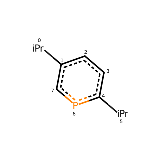 CC(C)c1ccc(C(C)C)pc1